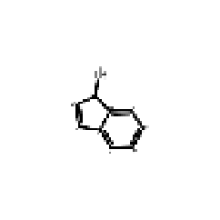 [Hf][CH]1C=Cc2ccccc21